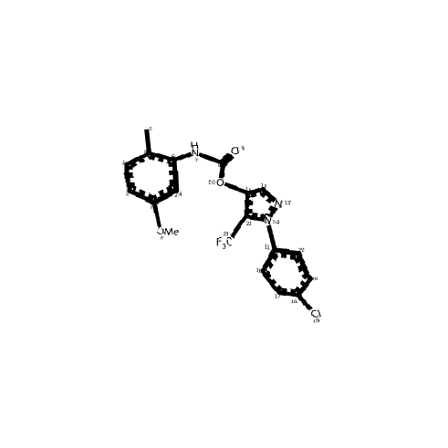 COc1ccc(C)c(NC(=O)Oc2cnn(-c3ccc(Cl)cc3)c2C(F)(F)F)c1